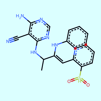 CC(Nc1ncnc(N)c1C#N)/C(=C/c1ncccc1[SH](=O)=O)Nc1ccccc1